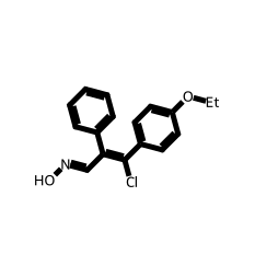 CCOc1ccc(C(Cl)=C(C=NO)c2ccccc2)cc1